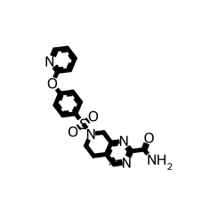 NC(=O)c1n[c]c2c(n1)CN(S(=O)(=O)c1ccc(Oc3ccccn3)cc1)CC2